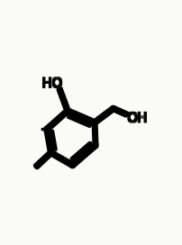 Cc1[c]c(O)c(CO)cc1